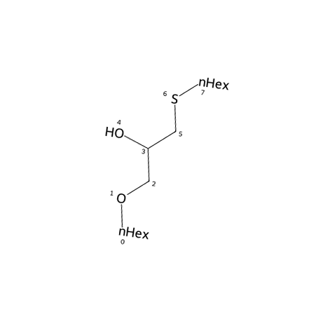 CCCCCCOCC(O)CSCCCCCC